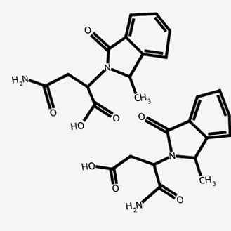 CC1c2ccccc2C(=O)N1C(CC(=O)O)C(N)=O.CC1c2ccccc2C(=O)N1C(CC(N)=O)C(=O)O